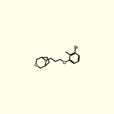 Cc1c(Br)cccc1OCCCN1C2CCC1COC2